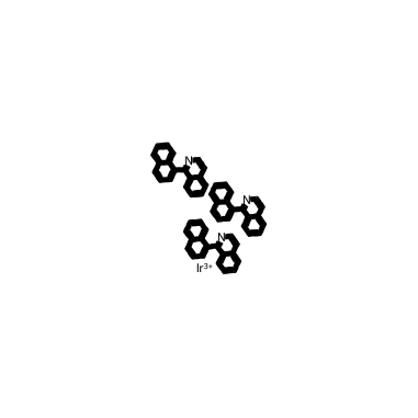 [Ir+3].c1ccc2c(-c3nccc4ccccc34)cccc2c1.c1ccc2c(-c3nccc4ccccc34)cccc2c1.c1ccc2c(-c3nccc4ccccc34)cccc2c1